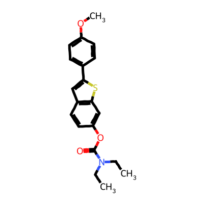 CCN(CC)C(=O)Oc1ccc2cc(-c3ccc(OC)cc3)sc2c1